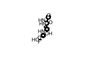 CC(O)(F)Oc1ccc(O)c(Nc2cccc3c2C[C@]32CC(=O)C(C3CCOCC3)C(=N)N2)c1